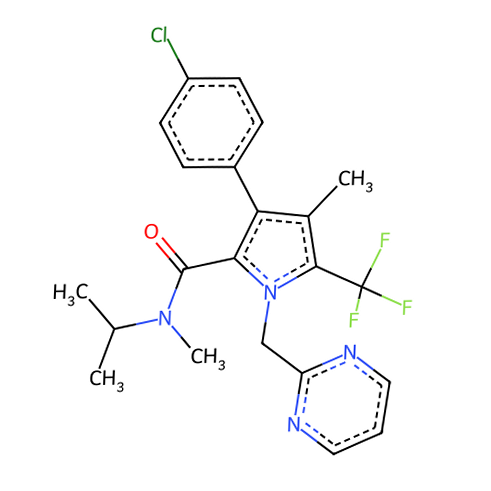 Cc1c(-c2ccc(Cl)cc2)c(C(=O)N(C)C(C)C)n(Cc2ncccn2)c1C(F)(F)F